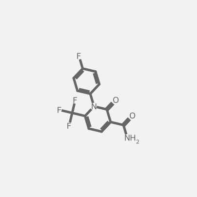 NC(=O)c1ccc(C(F)(F)F)n(-c2ccc(F)cc2)c1=O